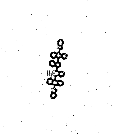 C=C(c1ccccc1C(=C)c1c2ccccc2c(-c2cc3ccccc3s2)c2ccccc12)c1ccc(-c2c3ccccc3c(-c3cc4ccccc4s3)c3ccccc23)c2ccccc12